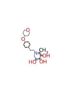 C[C@@H]1[C@@H](O)[C@H](O)[C@@H](O)CN1CCc1ccc(OC2CCOCC2)cc1